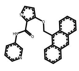 O=C(Nc1cccnc1)c1sccc1OCc1c2ccccc2cc2ccccc12